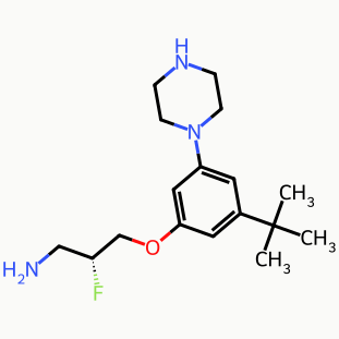 CC(C)(C)c1cc(OC[C@H](F)CN)cc(N2CCNCC2)c1